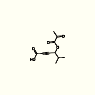 CC(=O)C(=O)OC(C#CC(=O)O)C(C)C